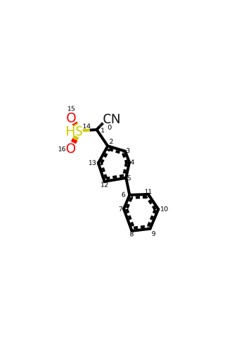 N#CC(c1ccc(-c2ccccc2)cc1)[SH](=O)=O